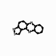 c1ccc2nc3c(ccc4nscc43)nc2c1